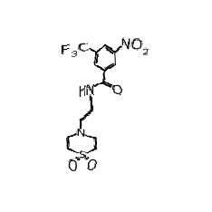 O=C(NCCN1CCS(=O)(=O)CC1)c1cc([N+](=O)[O-])cc(C(F)(F)F)c1